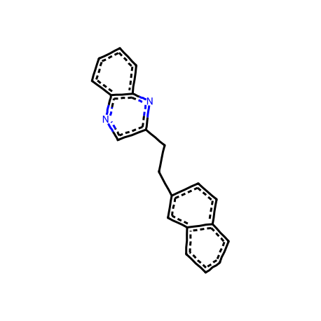 c1ccc2cc(CCc3cnc4ccccc4n3)ccc2c1